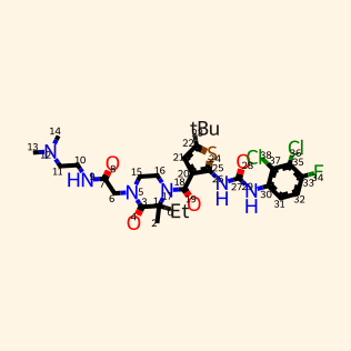 CCC1(C)C(=O)N(CC(=O)NCCN(C)C)CCN1C(=O)c1cc(C(C)(C)C)sc1NC(=O)Nc1ccc(F)c(Cl)c1Cl